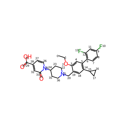 CCOc1cc(-c2ccc(F)cc2F)c(C2CC2)cc1CN1CCC(n2ccc(C(=O)O)cc2=O)CC1